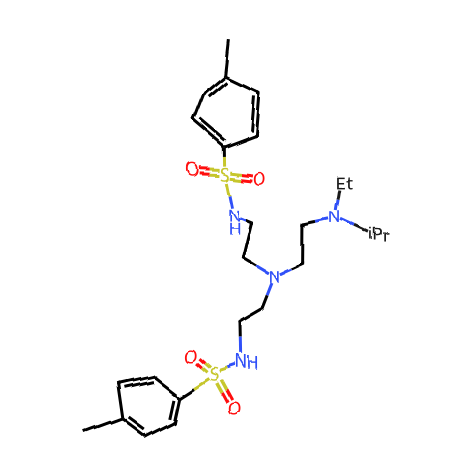 CCN(CCN(CCNS(=O)(=O)c1ccc(C)cc1)CCNS(=O)(=O)c1ccc(C)cc1)C(C)C